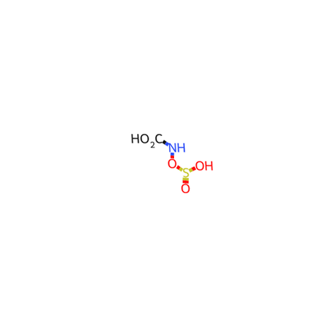 O=C(O)NOS(=O)O